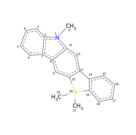 Cn1c2ccccc2c2cc3c(cc21)-c1ccccc1S3(C)C